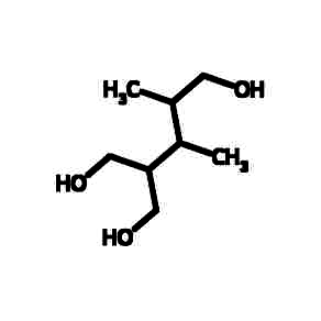 CC(CO)C(C)C(CO)CO